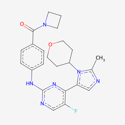 Cc1ncc(-c2nc(Nc3ccc(C(=O)N4CCC4)cc3)ncc2F)n1C1CCOCC1